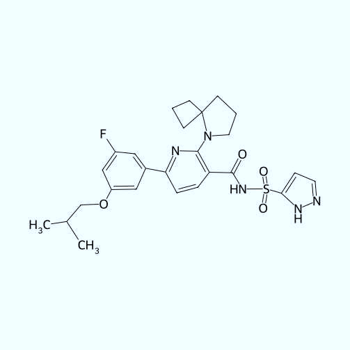 CC(C)COc1cc(F)cc(-c2ccc(C(=O)NS(=O)(=O)c3ccn[nH]3)c(N3CCCC34CCC4)n2)c1